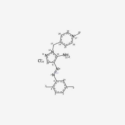 Cc1ccc(C)c(/N=N/c2cnn(Cc3cc[n+](C)cc3)c2N)c1.[Cl-]